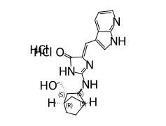 Cl.Cl.O=C1NC(N[C@H]2[C@H]3CC[C@H](C3)[C@@H]2CO)=NC1=Cc1c[nH]c2ncccc12